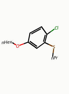 CCCCCCOc1ccc(Cl)c(SCCC)c1